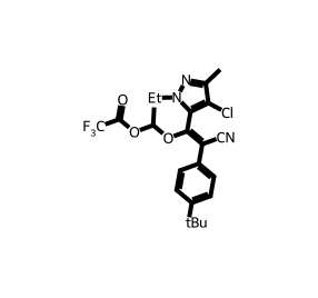 CCn1nc(C)c(Cl)c1/C(OC(C)OC(=O)C(F)(F)F)=C(\C#N)c1ccc(C(C)(C)C)cc1